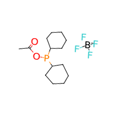 CC(=O)OP(C1CCCCC1)C1CCCCC1.F[B-](F)(F)F